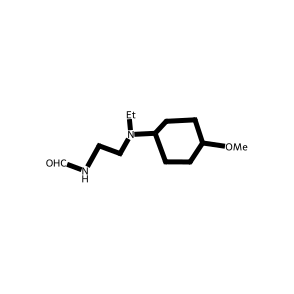 CCN(CCNC=O)C1CCC(OC)CC1